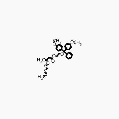 C=C(CC(=O)OCCOC(c1ccccc1)(c1ccc(OC)cc1)c1ccc(OC)cc1)OOCSSC